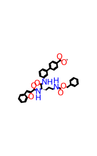 COC(=O)c1ccc(-c2cccc(NC(=O)[C@H](CCCNC(=O)OCc3ccccc3)NC(=O)c3cc4ccccc4o3)c2)cc1